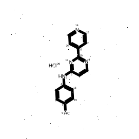 CC(=O)c1ccc(Nc2ccnc(-c3ccncc3)n2)cc1.Cl